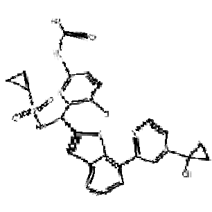 O=C(O)Nc1ccc(Cl)c(C(NS(=O)(=O)C2CC2)c2cc3cccc(-c4cc(C5(O)CC5)ccn4)c3s2)n1